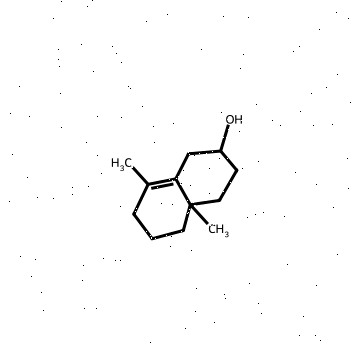 CC1=C2CC(O)CCC2(C)CCC1